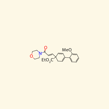 CCOC(=O)C1(C=CC(=O)N2CCOCC2)C=CC(c2ccccc2OC)=CC1